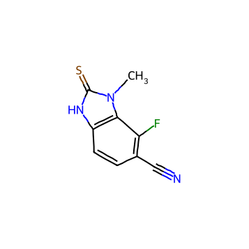 Cn1c(=S)[nH]c2ccc(C#N)c(F)c21